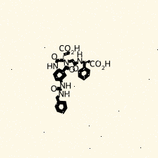 O=C(O)CC[C@H]1C(=O)Nc2ccc(NC(=O)NCc3ccccc3)cc2C(=O)N1CC(=O)N[C@@H](CC(=O)O)c1ccccc1